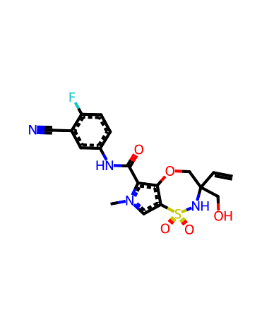 C=CC1(CO)COc2c(cn(C)c2C(=O)Nc2ccc(F)c(C#N)c2)S(=O)(=O)N1